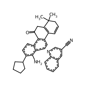 CC1(C)CC=CC2=C1CC(=O)c1c2ccc2c(N)c(C3CCCC3)ccc12.N#Cc1cnc2ccccc2c1